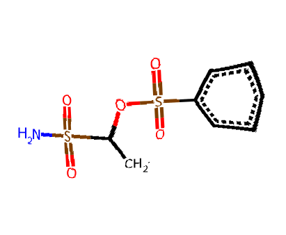 [CH2]C(OS(=O)(=O)c1ccccc1)S(N)(=O)=O